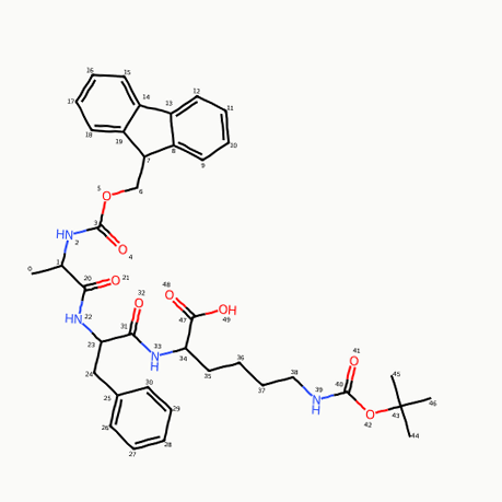 CC(NC(=O)OCC1c2ccccc2-c2ccccc21)C(=O)NC(Cc1ccccc1)C(=O)NC(CCCCNC(=O)OC(C)(C)C)C(=O)O